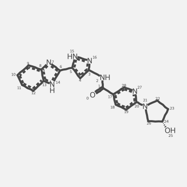 O=C(Nc1cc(-c2nc3ccccc3[nH]2)[nH]n1)c1ccc(N2CC[C@H](O)C2)nc1